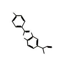 CC([C]=O)c1ccc2oc(-c3ccc(Cl)cc3)nc2c1